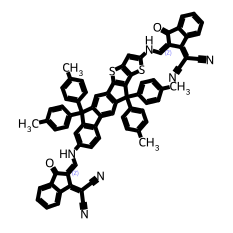 Cc1ccc(C2(c3ccc(C)cc3)c3cc(N/C=C4\C(=O)c5ccccc5C4=C(C#N)C#N)ccc3-c3cc4c(cc32)-c2sc3cc(N/C=C5\C(=O)c6ccccc6C5=C(C#N)C#N)sc3c2C4(c2ccc(C)cc2)c2ccc(C)cc2)cc1